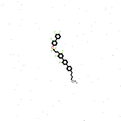 CCCCCc1ccc(-c2ccc(-c3cc(F)c(/C=C/C(F)(F)Oc4ccc(-c5ccc(F)c(F)c5)c(F)c4)c(F)c3)c(F)c2)cc1